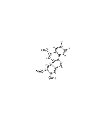 COc1cc2nccc(O[C@H](C=O)c3ccc(C)c(C)c3)c2cc1OC